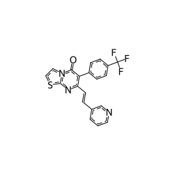 O=c1c(-c2ccc(C(F)(F)F)cc2)c(C=Cc2cccnc2)nc2sccn12